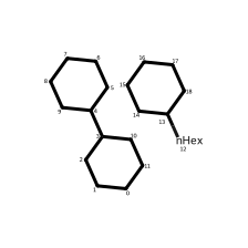 C1CCC(C2CCCCC2)CC1.CCCCCCC1CCCCC1